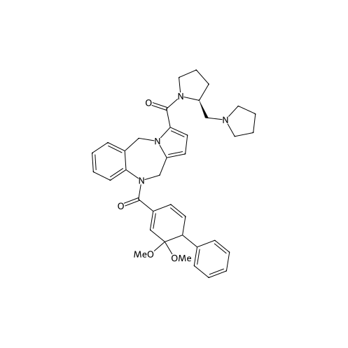 COC1(OC)C=C(C(=O)N2Cc3ccc(C(=O)N4CCC[C@H]4CN4CCCC4)n3Cc3ccccc32)C=CC1c1ccccc1